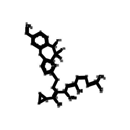 C=Cc1ccc2c(c1)Cc1ccc(CC/C(=C(/S)C3CC3)C(/C=C(O)/C=C\C=C(/C)Cl)NC)nc1C(F)(F)C2F